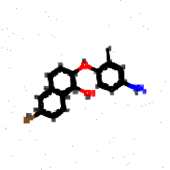 Cc1cc(N)ccc1Oc1ccc2cc(Br)ccc2c1O